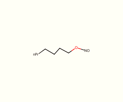 CCCCCCCON=O